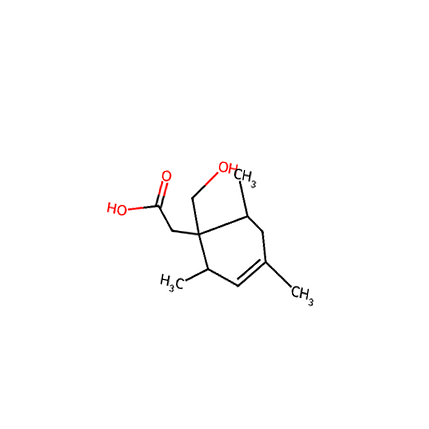 CC1=CC(C)C(CO)(CC(=O)O)C(C)C1